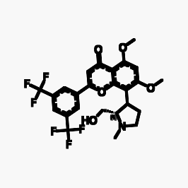 COc1cc(OC)c2c(=O)cc(-c3cc(C(F)(F)F)cc(C(F)(F)F)c3)oc2c1C1CCN(C)[C@@H]1CO